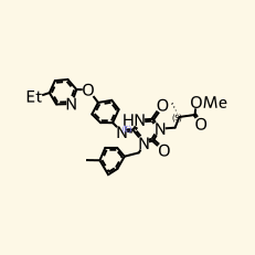 CCc1ccc(Oc2ccc(/N=c3\[nH]c(=O)n(C[C@H](C)C(=O)OC)c(=O)n3Cc3ccc(C)cc3)cc2)nc1